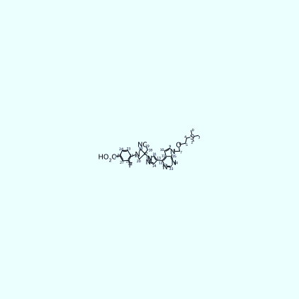 CS(C)(C)CCOCn1ccc2c(-c3cnn(C4(CC#N)CN(c5ccc(C(=O)O)cc5F)C4)c3)ncnc21